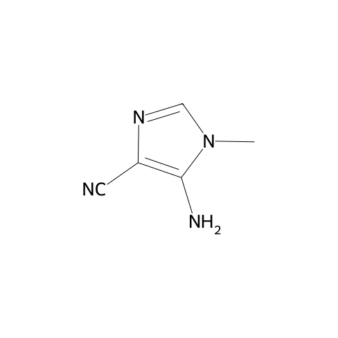 Cn1cnc(C#N)c1N